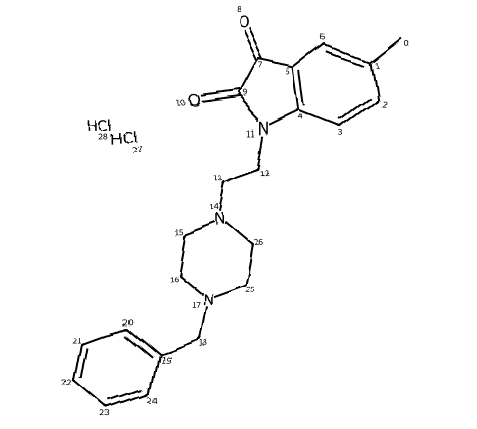 Cc1ccc2c(c1)C(=O)C(=O)N2CCN1CCN(Cc2ccccc2)CC1.Cl.Cl